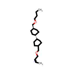 C/C=C\COCC1CCC([C@H]2CC[C@H](COCCCC)CC2)CC1